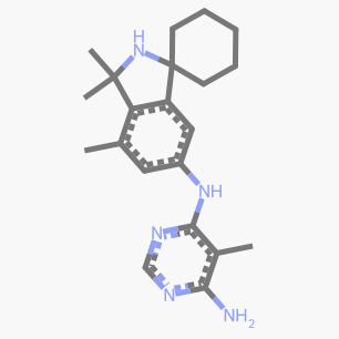 Cc1cc(Nc2ncnc(N)c2C)cc2c1C(C)(C)NC21CCCCC1